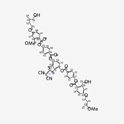 [C-]#[N+]/C(C#N)=C1/Sc2c(OC(=O)c3ccc(OC(=O)c4ccc(OCCC(C)OC)cc4CO)cc3)ccc(OC(=O)c3ccc(OC(=O)c4ccc(OCCC(C)CO)cc4OC)cc3)c2S1